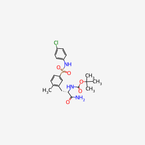 Cc1ccc(S(=O)(=O)Nc2ccc(Cl)cc2)cc1C[C@H](NC(=O)OC(C)(C)C)C(N)=O